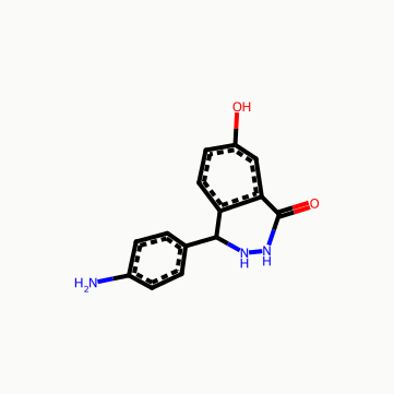 Nc1ccc(C2NNC(=O)c3cc(O)ccc32)cc1